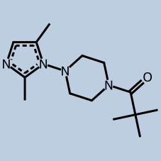 Cc1cnc(C)n1N1CCN(C(=O)C(C)(C)C)CC1